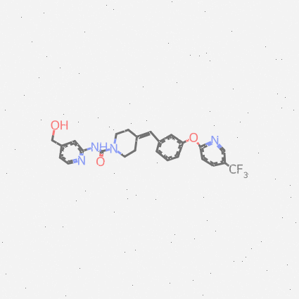 O=C(Nc1cc(CO)ccn1)N1CCC(=Cc2cccc(Oc3ccc(C(F)(F)F)cn3)c2)CC1